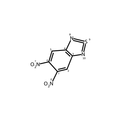 O=[N+]([O-])c1cc2c(cc1[N+](=O)[O-])N=S=N2